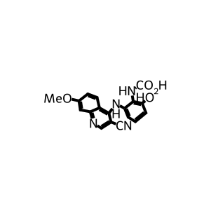 COc1ccc2c(Nc3cccc(O)c3NC(=O)O)c(C#N)cnc2c1